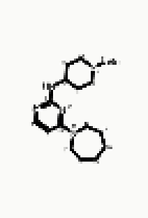 CCCCN1CCC(Nc2nccc(N3CCCCCC3)n2)CC1